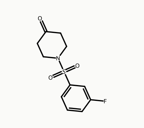 O=C1CCN(S(=O)(=O)c2cccc(F)c2)CC1